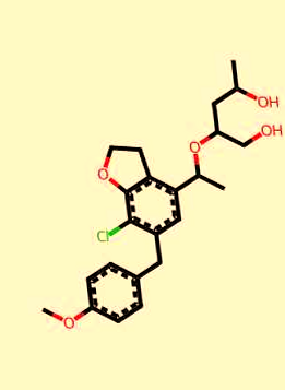 COc1ccc(Cc2cc(C(C)OC(CO)CC(C)O)c3c(c2Cl)OCC3)cc1